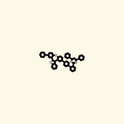 c1ccc(-c2ccc3c(c2)-c2oc4ccccc4c2-c2cc(-c4ccc(-c5ccccc5-c5nc(-c6ccccc6)cc(-c6ccccc6)n5)cc4)ccc2O3)cc1